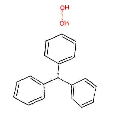 OO.c1ccc(C(c2ccccc2)c2ccccc2)cc1